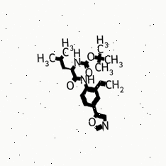 C=Cc1cc(-c2cnco2)ccc1NC(=O)[C@@H](CC(C)C)NC(=O)OC(C)(C)C